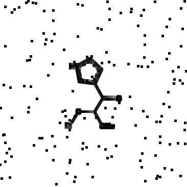 CCOC(OC)C(=O)c1cc[nH]c1